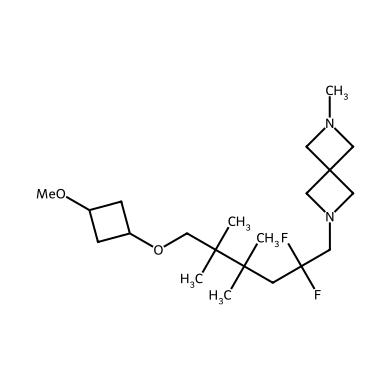 COC1CC(OCC(C)(C)C(C)(C)CC(F)(F)CN2CC3(CN(C)C3)C2)C1